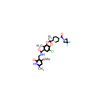 CSc1cc(C)[nH]c(=O)c1CNC(=O)c1cc(Cl)c2c(c1C)O[C@](C)([C@H]1CC[C@@H](C(=O)N3CC(F)(F)C3)CC1)O2